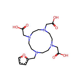 O=C(O)CN1CCN(CC(=O)O)CCN(Cc2ccco2)CCN(CC(=O)O)CC1